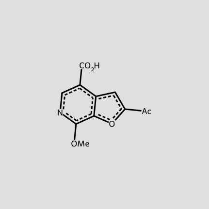 COc1ncc(C(=O)O)c2cc(C(C)=O)oc12